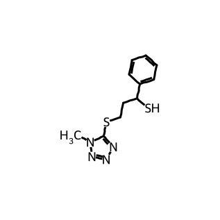 Cn1nnnc1SCCC(S)c1ccccc1